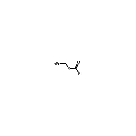 CCC[CH]SC(=O)CC